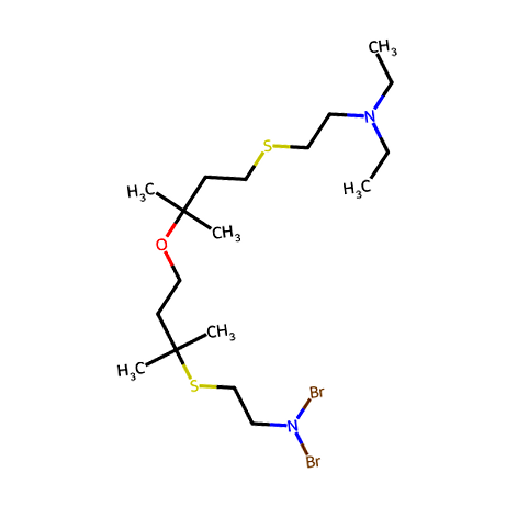 CCN(CC)CCSCCC(C)(C)OCCC(C)(C)SCCN(Br)Br